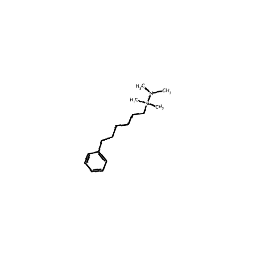 CN(C)[Si](C)(C)CCCCCCc1ccccc1